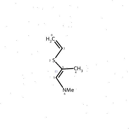 C=CS/C(C)=C/NC